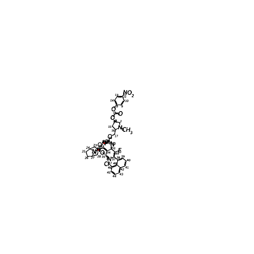 CN1C[C@H](OC(=O)Oc2ccc([N+](=O)[O-])cc2)CC1COc1nc(N2CC3CCC(C2)N3C(=O)OC(C)(C)C)c2cnc(-c3cccc4cccc(Cl)c34)c(F)c2n1